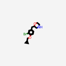 Brc1cc(CC2CNCCO2)ccc1OCC1CC1